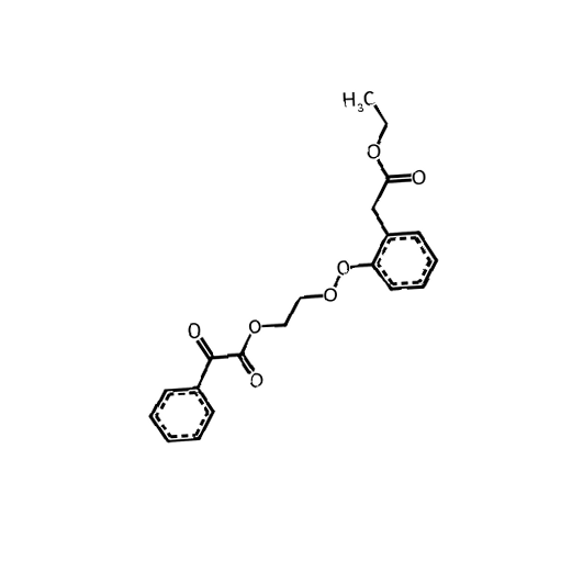 CCOC(=O)Cc1ccccc1OOCCOC(=O)C(=O)c1ccccc1